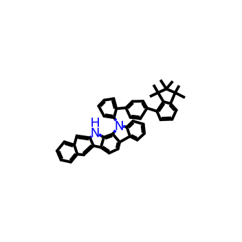 CC1(C)c2cccc(-c3ccc(-c4ccccc4-n4c5ccccc5c5ccc6c7cc8ccccc8cc7[nH]c6c54)cc3)c2C(C)(C)C1(C)C